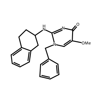 COc1cn(Cc2ccccc2)c(NC2CCc3ccccc3C2)nc1=O